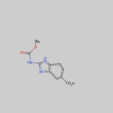 CC(C)(C)OC(=O)Nc1nc2cc(C(=O)O)ccc2[nH]1